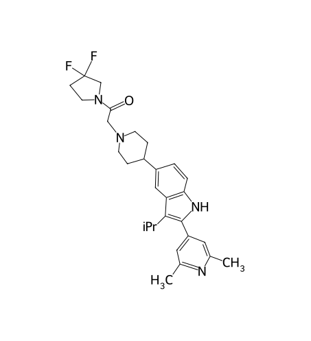 Cc1cc(-c2[nH]c3ccc(C4CCN(CC(=O)N5CCC(F)(F)C5)CC4)cc3c2C(C)C)cc(C)n1